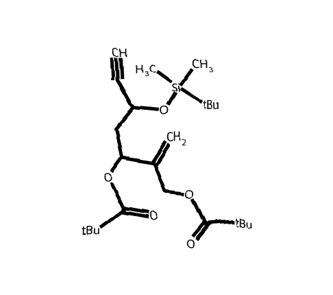 C#CC(CC(OC(=O)C(C)(C)C)C(=C)COC(=O)C(C)(C)C)O[Si](C)(C)C(C)(C)C